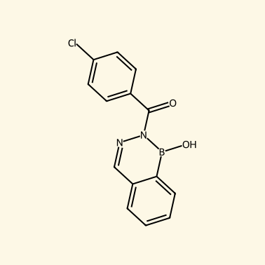 O=C(c1ccc(Cl)cc1)N1N=Cc2ccccc2B1O